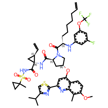 C=CCCCCC[C@H](Nc1cc(F)cc(OC(F)(F)F)c1)C(=O)N1C[C@H](Oc2cc(-c3nc(C(C)C)cs3)nc3c(C)c(OC)ccc23)C[C@H]1C(=O)N[C@]1(C(=O)NS(=O)(=O)C2(C)CC2)C[C@H]1C=C